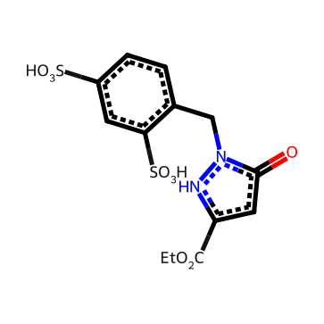 CCOC(=O)c1cc(=O)n(Cc2ccc(S(=O)(=O)O)cc2S(=O)(=O)O)[nH]1